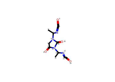 CC(N=C=O)N1CC(=O)N(C(C)N=C=O)C1=O